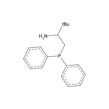 CC(C)(C)C(N)CP(c1ccccc1)c1ccccc1